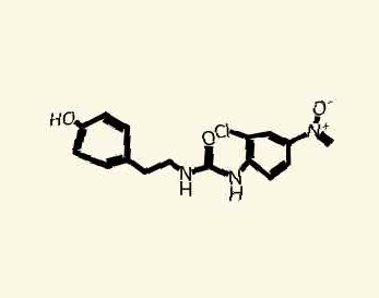 C=[N+]([O-])c1ccc(NC(=O)NCCc2ccc(O)cc2)c(Cl)c1